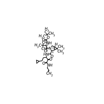 C=CCNC(=O)C(=O)C(CCC1CC1)NC(=O)[C@@H]1C2[C@H](CN1C(=O)[C@@H](NC(=O)OC(C)(C)C)C(C)(C)C)C2(C)C